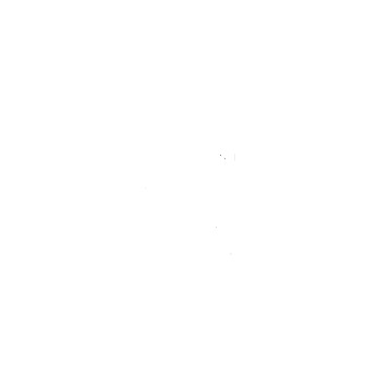 CCCNCC.O=C(O)/C=C/C(=O)O